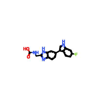 O=C(O)NCc1nc2ccc(-c3c[nH]c4cc(F)ccc34)cc2[nH]1